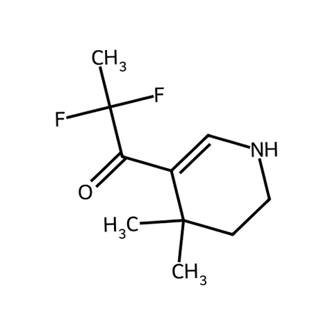 CC(F)(F)C(=O)C1=CNCCC1(C)C